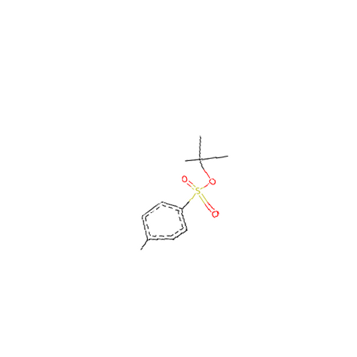 Cc1ccc(S(=O)(=O)OC(C)(C)C)cc1